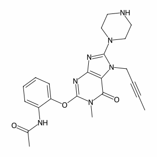 CC#CCn1c(N2CCNCC2)nc2nc(Oc3ccccc3NC(C)=O)n(C)c(=O)c21